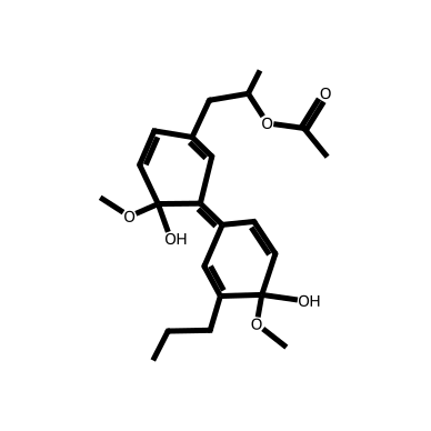 CCCC1=CC(=C2C=C(CC(C)OC(C)=O)C=CC2(O)OC)C=CC1(O)OC